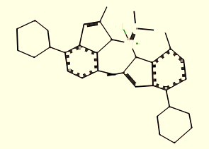 CC1=Cc2c(C3CCCCC3)ccc(C)c2[CH]1[Zr]([Cl])([Cl])([CH]1C(C)=Cc2c(C3CCCCC3)ccc(C)c21)=[Si](C)C